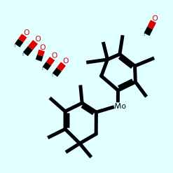 CC1=[C]([Mo][C]2=C(C)C(C)=C(C)C(C)(C)C2)CC(C)(C)C(C)=C1C.[C]=O.[C]=O.[C]=O.[C]=O.[C]=O.[C]=O